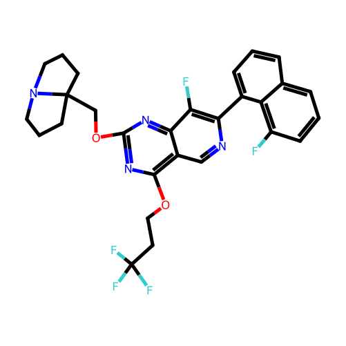 Fc1c(-c2cccc3cccc(F)c23)ncc2c(OCCC(F)(F)F)nc(OCC34CCCN3CCC4)nc12